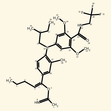 CCC/C=C(/OC(C)=N)c1ccc(N(CC(C)CC)c2cc(OC)c(C(=O)NCC(F)(F)F)c(OC)c2)c(C)c1